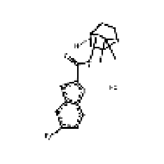 CC1(C)[C@@H](NC(=O)c2cc3cc(C(F)(F)F)ccc3s2)C2CCN1CC2.Cl